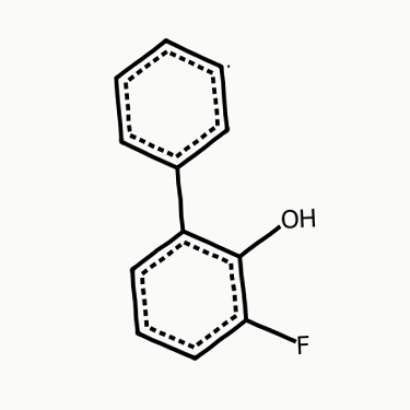 Oc1c(F)cccc1-c1c[c]ccc1